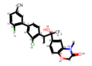 CC(c1ccc(-c2cc(C#N)ccc2F)cc1Cl)C(O)(c1ccc2c(c1)N(C)C(=O)CO2)C(F)(F)F